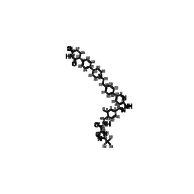 Cc1cc(-c2n[nH]c3ncc(-c4ccc(CCN5CCC(c6ccc([C@@H]7CCC(=O)NC7=O)cc6)CC5)cc4)cc23)ccc1CNC(=O)c1nc(C(C)(C)C)no1